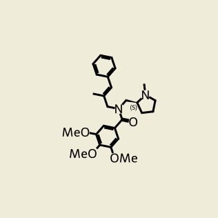 COc1cc(C(=O)N(CC(C)=Cc2ccccc2)C[C@@H]2CCCN2C)cc(OC)c1OC